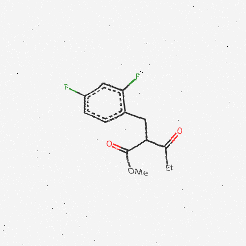 CCC(=O)C(Cc1ccc(F)cc1F)C(=O)OC